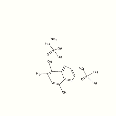 Cc1cc(O)c2ccccc2c1O.O=P(O)(O)O.O=P(O)(O)O.[NaH]